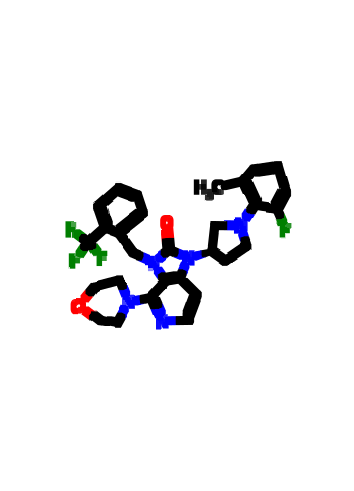 Cc1cccc(F)c1N1CC[C@@H](n2c(=O)n(Cc3ccccc3C(F)(F)F)c3c(N4CCOCC4)nccc32)C1